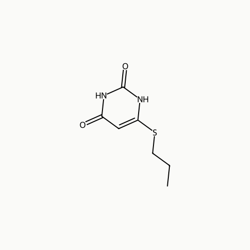 CCCSc1cc(=O)[nH]c(=O)[nH]1